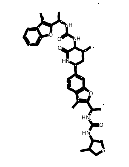 Cc1c(C(C)NC(=O)NC2CSCC2C)oc2cc(C3CC(C)C(NC(=O)NC(C)c4oc5ccccc5c4C)C(=O)N3)ccc12